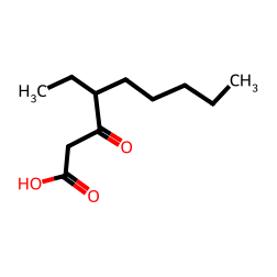 CCCCCC(CC)C(=O)CC(=O)O